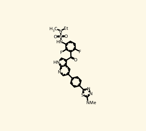 CCN(C)S(=O)(=O)Nc1ccc(F)c(C(=O)c2c[nH]c3ncc(-c4ccc(-c5nnc(NC)s5)cc4)cc23)c1F